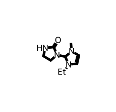 CCN1C=CN(C)C1N1CCNC1=O